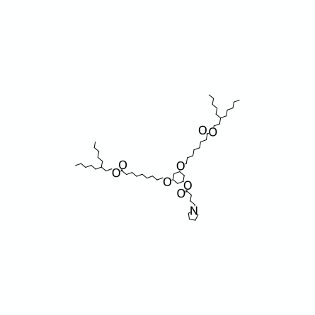 CCCCCC(CCCCC)CCOC(=O)CCCCCCCCOC1CC(OCCCCCCCC(=O)OCCC(CCCCC)CCCCC)CC(OC(=O)CCCN2CCCC2)C1